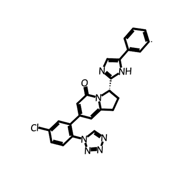 O=c1cc(-c2cc(Cl)ccc2-n2cnnn2)cc2n1[C@H](c1ncc(-c3c[c]ccc3)[nH]1)CC2